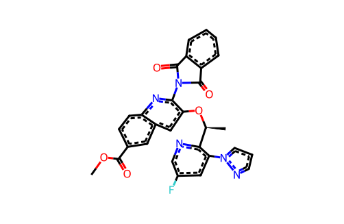 COC(=O)c1ccc2nc(N3C(=O)c4ccccc4C3=O)c(O[C@@H](C)c3ncc(F)cc3-n3cccn3)cc2c1